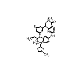 C=CC(=O)Nc1cc(Nc2ncc3c(=O)n(C)cc(-c4cccc(F)c4)c3n2)ccc1N(C)C1CCN(C)C1